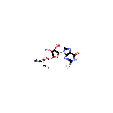 CCCC[SiH](C)OC[C@H]1O[C@@H](n2cnc3c(=O)[nH]c(N)nc32)[C@H](O)[C@@H]1O